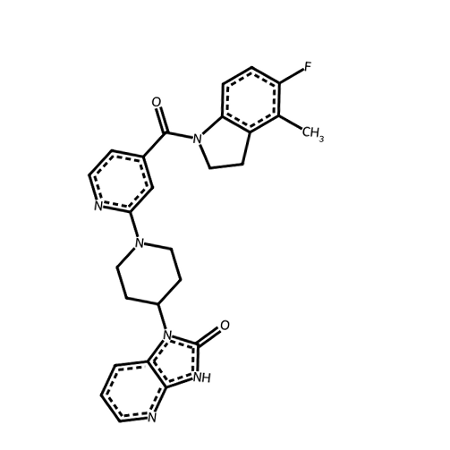 Cc1c(F)ccc2c1CCN2C(=O)c1ccnc(N2CCC(n3c(=O)[nH]c4ncccc43)CC2)c1